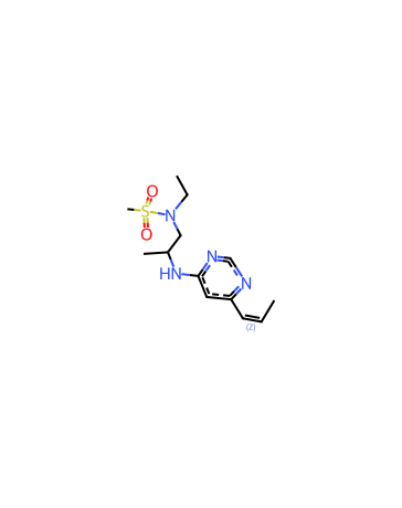 C/C=C\c1cc(NC(C)CN(CC)S(C)(=O)=O)ncn1